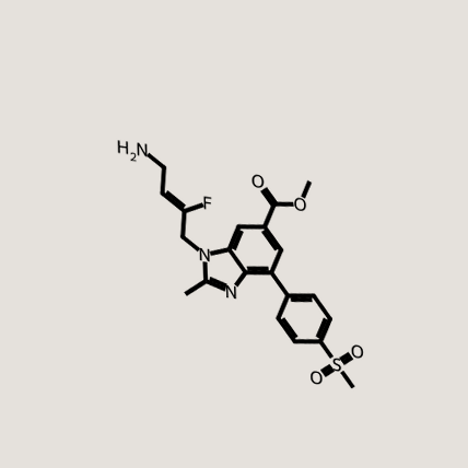 COC(=O)c1cc(-c2ccc(S(C)(=O)=O)cc2)c2nc(C)n(C/C(F)=C/CN)c2c1